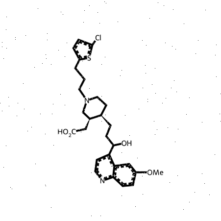 COc1ccc2nccc(C(O)CC[C@@H]3CCN(CCCc4ccc(Cl)s4)C[C@@H]3CC(=O)O)c2c1